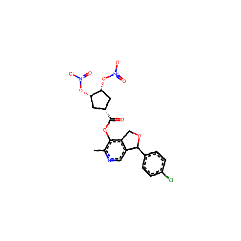 Cc1ncc2c(c1OC(=O)[C@@H]1C[C@H](O[N+](=O)[O-])[C@H](O[N+](=O)[O-])C1)COC2c1ccc(Cl)cc1